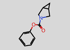 O=C(Oc1ccccc1)N1CC2CC2C1